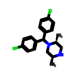 C[C@@H]1CN[C@@H](C)CN1C(c1ccc(Cl)cc1)c1ccc(Cl)cc1